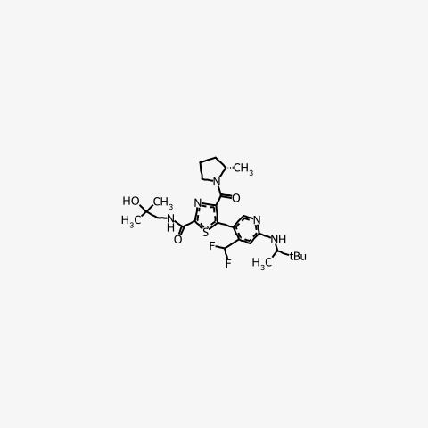 CC(Nc1cc(C(F)F)c(-c2sc(C(=O)NCC(C)(C)O)nc2C(=O)N2CCC[C@@H]2C)cn1)C(C)(C)C